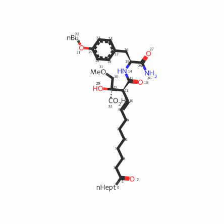 CCCCCCCC(=O)CCCCCC/C=C/[C@H](C(=O)N[C@@H](Cc1ccc(OCCCC)cc1)C(N)=O)[C@@](O)(COC)C(=O)O